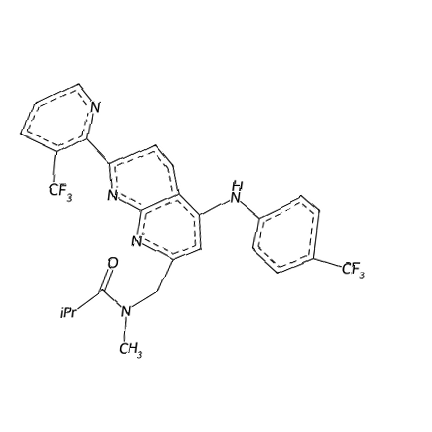 CC(C)C(=O)N(C)Cc1cc(Nc2ccc(C(F)(F)F)cc2)c2ccc(-c3ncccc3C(F)(F)F)nc2n1